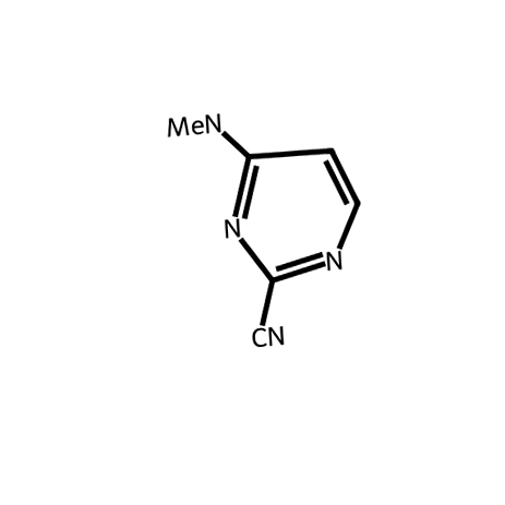 CNc1ccnc(C#N)n1